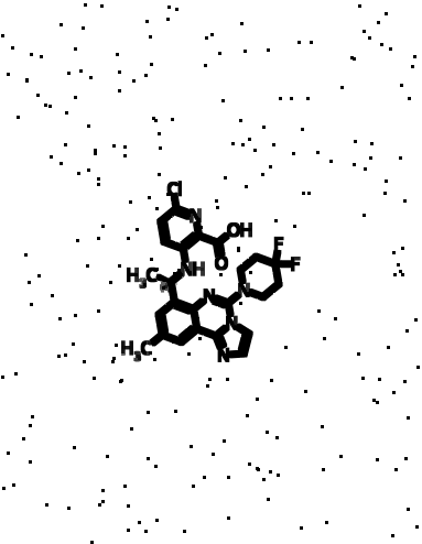 Cc1cc([C@@H](C)Nc2ccc(Cl)nc2C(=O)O)c2nc(N3CCC(F)(F)CC3)n3ccnc3c2c1